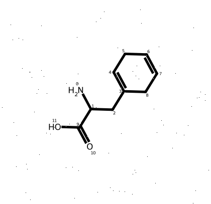 NC(CC1=CCC=CC1)C(=O)O